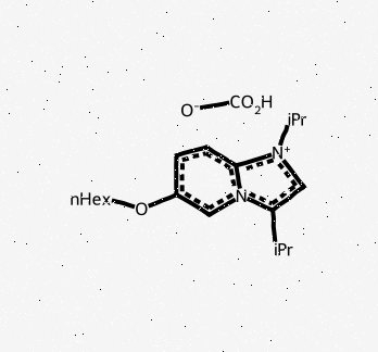 CCCCCCOc1ccc2n(c1)c(C(C)C)c[n+]2C(C)C.O=C([O-])O